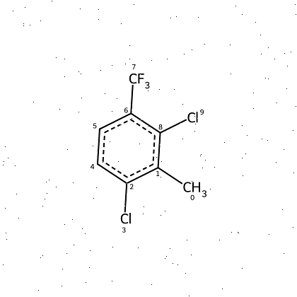 Cc1c(Cl)ccc(C(F)(F)F)c1Cl